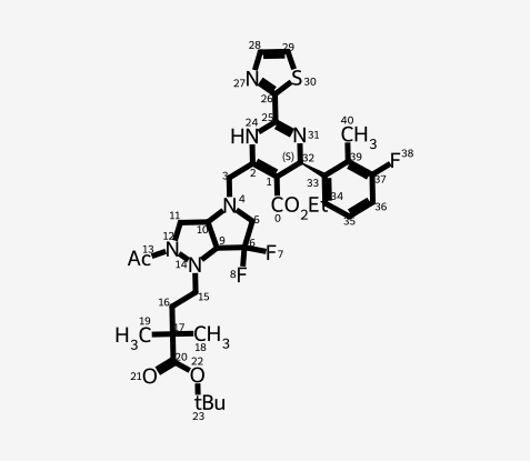 CCOC(=O)C1=C(CN2CC(F)(F)C3C2CN(C(C)=O)N3CCC(C)(C)C(=O)OC(C)(C)C)NC(c2nccs2)=N[C@H]1c1cccc(F)c1C